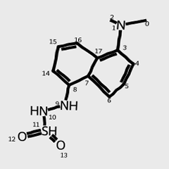 CN(C)c1cccc2c(NN[SH](=O)=O)cccc12